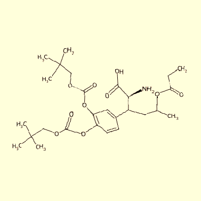 CCC(=O)OC(C)CC(c1ccc(OC(=O)OCC(C)(C)C)c(OC(=O)OCC(C)(C)C)c1)[C@H](N)C(=O)O